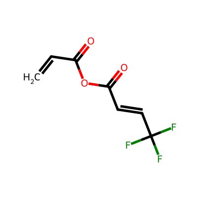 C=CC(=O)OC(=O)C=CC(F)(F)F